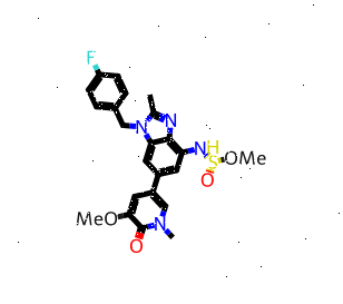 COc1cc(-c2cc(N=[SH](=O)OC)c3nc(C)n(Cc4ccc(F)cc4)c3c2)cn(C)c1=O